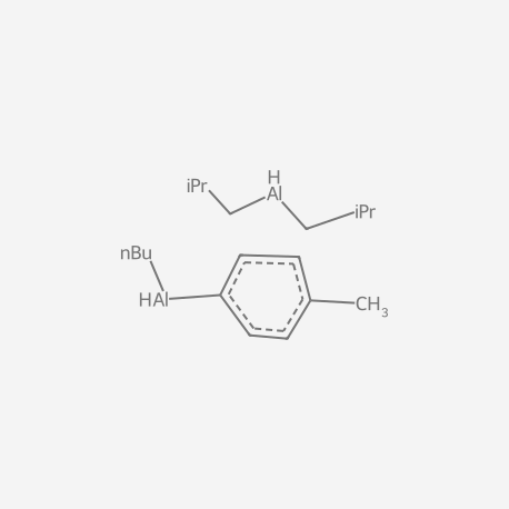 CC(C)[CH2][AlH][CH2]C(C)C.CCC[CH2][AlH][c]1ccc(C)cc1